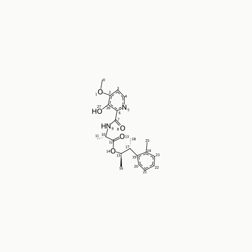 COc1ccnc(C(=O)N[C@@H](C)C(=O)O[C@H](C)[C@H](C)c2ccccc2C)c1O